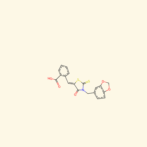 O=C(O)c1ccccc1C=C1SC(=S)N(Cc2ccc3c(c2)OCO3)C1=O